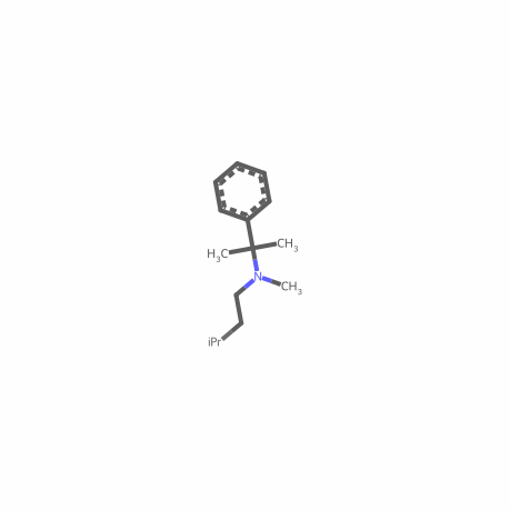 CC(C)CCN(C)C(C)(C)c1ccccc1